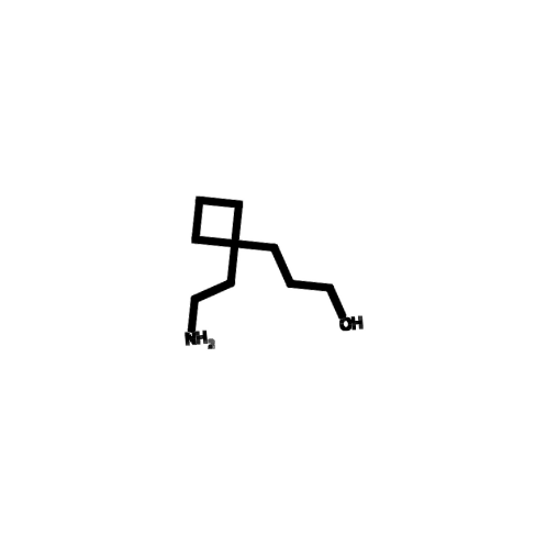 NCCC1(CCCO)CCC1